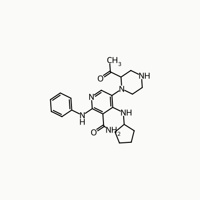 CC(=O)C1CNCCN1c1cnc(Nc2ccccc2)c(C(N)=O)c1NC1CCCC1